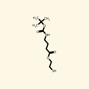 CC(C)(C)OC(=O)NCCCC(=O)OCCS